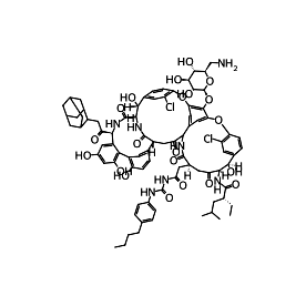 CCCCc1ccc(NC(=O)NC(=O)C[C@@H]2CC(=O)[C@H](NC(=O)[C@H](CC)CC(C)C)[C@H](O)c3ccc(c(Cl)c3)Oc3cc4cc(c3O[C@@H]3O[C@H](CN)[C@@H](O)[C@H](O)[C@H]3O)Oc3ccc(cc3Cl)[C@@H](O)[C@@H]3NC(=O)[C@H](CC(=O)C4NC2=O)c2ccc(O)c(c2)-c2c(O)cc(O)cc2[C@@H](C(=O)CC2C4CC5CC(C4)CC2C5)NC3=O)cc1